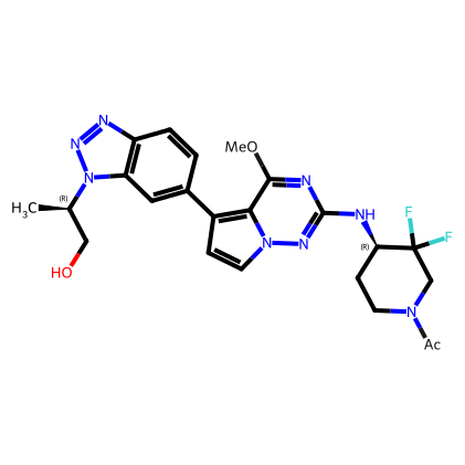 COc1nc(N[C@@H]2CCN(C(C)=O)CC2(F)F)nn2ccc(-c3ccc4nnn([C@H](C)CO)c4c3)c12